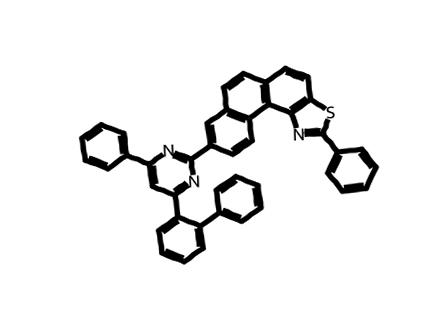 c1ccc(-c2cc(-c3ccccc3-c3ccccc3)nc(-c3ccc4c(ccc5ccc6sc(-c7ccccc7)nc6c54)c3)n2)cc1